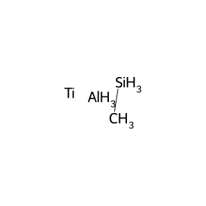 C[SiH3].[AlH3].[Ti]